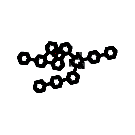 c1ccc(-c2ccc(-c3cccc(-c4nc(-c5ccc(-c6ccccc6)cc5)nc(-c5cccc6oc7c(-c8ccc(-c9ccccc9)cc8-c8ccccc8)cccc7c56)n4)c3)cc2)cc1